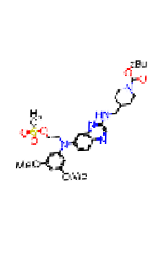 COc1cc(OC)cc(N(CCOS(C)(=O)=O)c2ccc3ncc(NCC4CCN(C(=O)OC(C)(C)C)CC4)nc3c2)c1